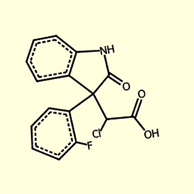 O=C(O)C(Cl)C1(c2ccccc2F)C(=O)Nc2ccccc21